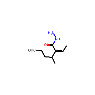 CC=C(C(=O)NN)C(C)CCC=O